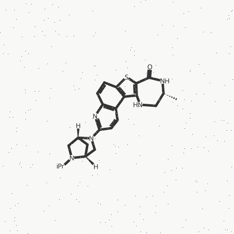 CC(C)N1C[C@H]2C[C@@H]1CN2c1ccc2c(ccc3sc4c(c32)NC[C@@H](C)NC4=O)n1